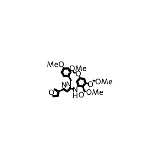 COCOc1cc(Nc2cc(-c3ccoc3)nn2Cc2ccc(OC)cc2)c(C(=O)OC)c(OCOC)c1